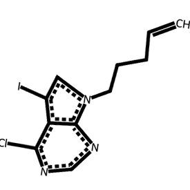 C=CCCCn1cc(I)c2c(Cl)ncnc21